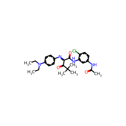 CCN(CC)c1ccc(/N=C(/C(=O)Nc2cc(NC(C)=O)ccc2Cl)C(=O)C(C)(C)C)cc1